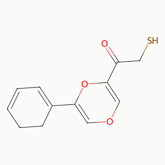 O=C(CS)C1=COC=C(C2=CC=CCC2)O1